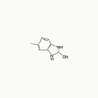 Cc1ccc2c(c1)NC(O)N2